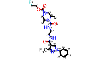 CC1CN(C(=O)OCCF)CC(C)N1C(=O)NCCNC(=O)c1cn(-c2ccccc2)nc1C(F)(F)F